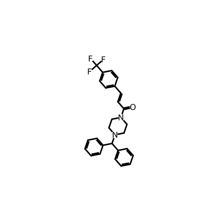 O=C(C=Cc1ccc(C(F)(F)F)cc1)N1CCN(C(c2ccccc2)c2ccccc2)CC1